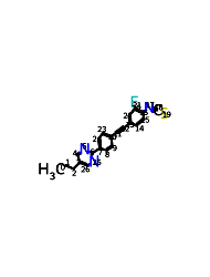 CCCc1cnc(-c2ccc(C#Cc3ccc(N=C=S)c(F)c3)cc2)nc1